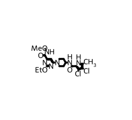 CCOc1nc(C(=O)NOC)cc(N2CCC(NC(=O)c3[nH]c(C)c(Cl)c3Cl)CC2)n1